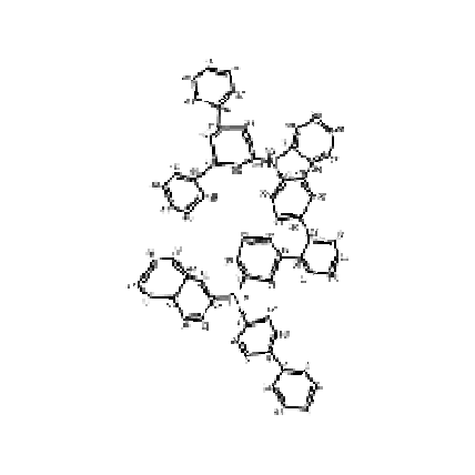 c1ccc(-c2ccc(N(c3cccc(-c4ccccc4-c4ccc5c(c4)c4ccccc4n5-c4cc(-c5ccccc5)cc(-c5ccccc5)c4)c3)c3ccc4ccccc4c3)cc2)cc1